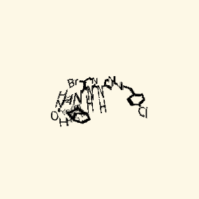 NC(=O)[C@@H]1[C@H](Nc2nc(Nc3cnn(Cc4ccc(Cl)cc4)c3)ncc2Br)[C@H]2C=C[C@@H]1C2